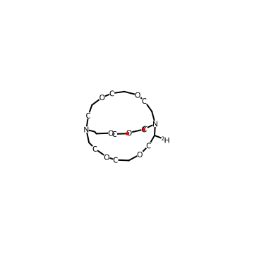 [2H]C1COCCOCCN2CCOCCOCCN1CCOCCOCC2